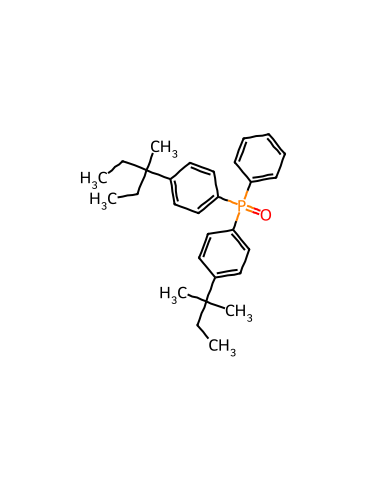 CCC(C)(C)c1ccc(P(=O)(c2ccccc2)c2ccc(C(C)(CC)CC)cc2)cc1